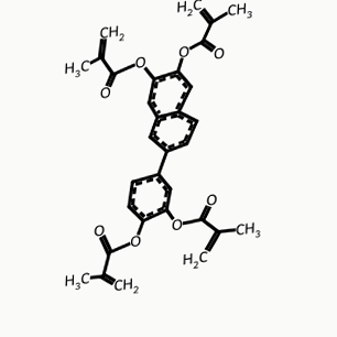 C=C(C)C(=O)Oc1ccc(-c2ccc3cc(OC(=O)C(=C)C)c(OC(=O)C(=C)C)cc3c2)cc1OC(=O)C(=C)C